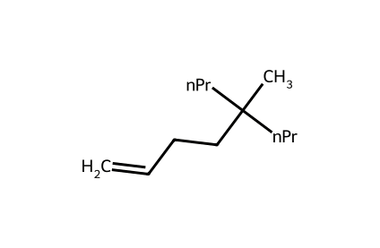 C=CCCC(C)(CCC)CCC